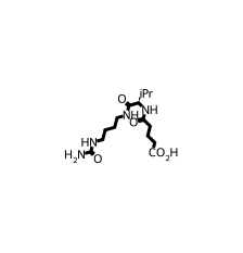 CC(C)[C@H](NC(=O)CCCC(=O)O)C(=O)NCCCCNC(N)=O